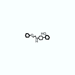 Oc1ccccc1C1CCC(NCCOc2ccccc2)CC1